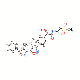 CS(=O)(=O)CCNC(=O)[C@@H](O)c1ccc2c(c1)CCc1c-2noc1-c1noc(-c2ccccc2)c1C(F)(F)F